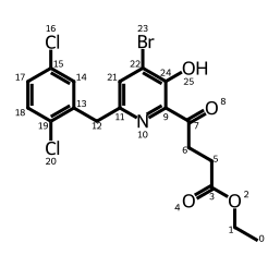 CCOC(=O)CCC(=O)c1nc(Cc2cc(Cl)ccc2Cl)cc(Br)c1O